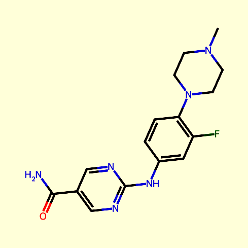 CN1CCN(c2ccc(Nc3ncc(C(N)=O)cn3)cc2F)CC1